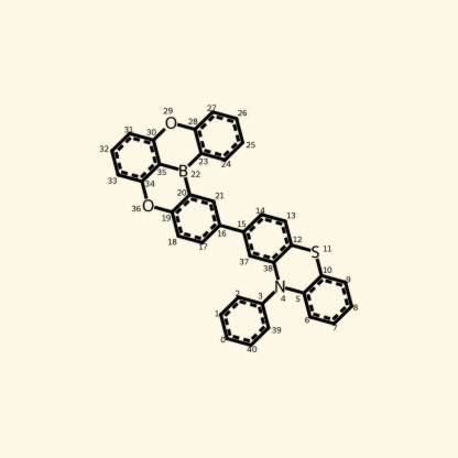 c1ccc(N2c3ccccc3Sc3ccc(-c4ccc5c(c4)B4c6ccccc6Oc6cccc(c64)O5)cc32)cc1